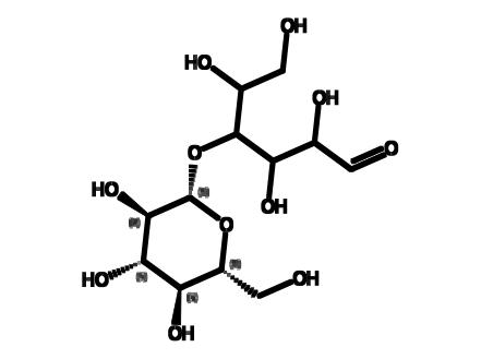 O=CC(O)C(O)C(O[C@@H]1O[C@H](CO)[C@@H](O)[C@H](O)[C@H]1O)C(O)CO